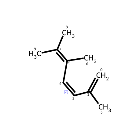 C=C(C)/C=C\C(C)=C(C)C